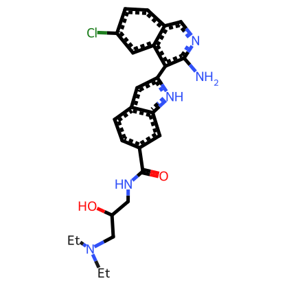 CCN(CC)CC(O)CNC(=O)c1ccc2cc(-c3c(N)ncc4ccc(Cl)cc34)[nH]c2c1